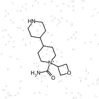 NC(=O)[N+]1(C2COC2)CCC(C2CCNCC2)CC1